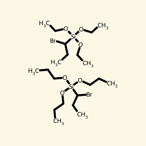 CCCO[Si](OCCC)(OCCC)C(Br)CC.CCO[Si](OCC)(OCC)C(Br)CC